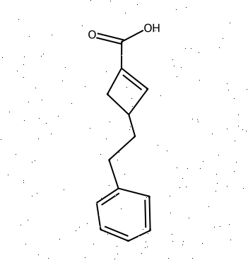 O=C(O)C1=CC(CCc2ccccc2)C1